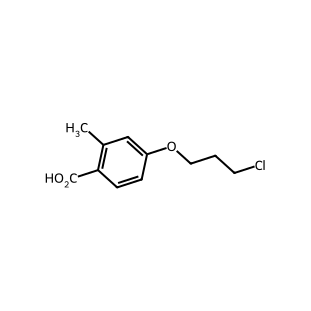 Cc1cc(OCCCCl)ccc1C(=O)O